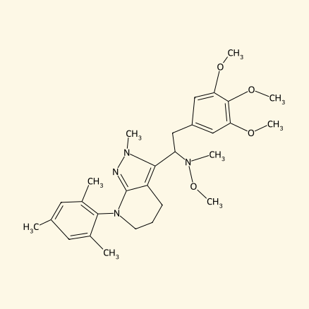 COc1cc(CC(c2c3c(nn2C)N(c2c(C)cc(C)cc2C)CCC3)N(C)OC)cc(OC)c1OC